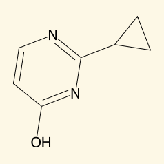 Oc1ccnc(C2CC2)n1